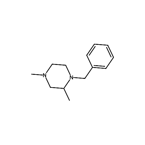 CC1CN(C)CCN1Cc1ccccc1